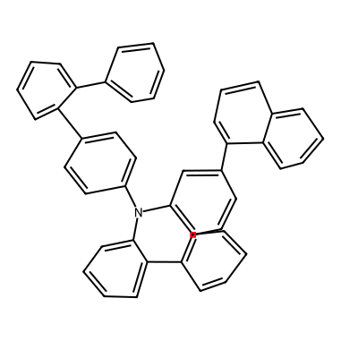 c1ccc(-c2ccccc2-c2ccc(N(c3cccc(-c4cccc5ccccc45)c3)c3ccccc3-c3ccccc3)cc2)cc1